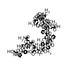 CC(C)C[C@H](NC(=O)[C@H](C)NC(=O)[C@H](CC(C)C)NC(=O)[C@@H](NC(=O)[C@H](C)NC(=O)[C@H](CCC(=O)O)NC(=O)[C@@H]1CCCN1C(=O)[C@H](CC(C)C)NC(=O)[C@@H]1CCCN1C(=O)CNC(=O)[C@@H]1CCCN1C(=O)[C@@H]1CCCN1C(=O)[C@@H](NC(=O)[C@H](CCC(=O)O)NC(=O)CNC(=O)[C@H](CCC(N)=O)NC(=O)[C@H](CO)NC(=O)[C@@H]1CCCN1C(=O)[C@@H]1CCCN1C(=O)[C@@H](N)CO)C(C)C)C(C)C)C(=O)O